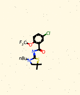 CCCCN1CC(C)(C)S/C1=N\C(=O)c1cc(Cl)ccc1OC(F)(F)F